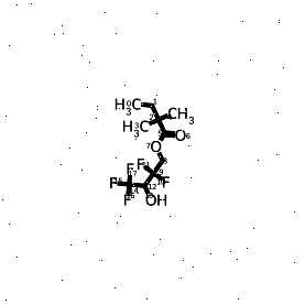 CCC(C)(C)C(=O)OCC(F)(F)C(O)C(F)(F)F